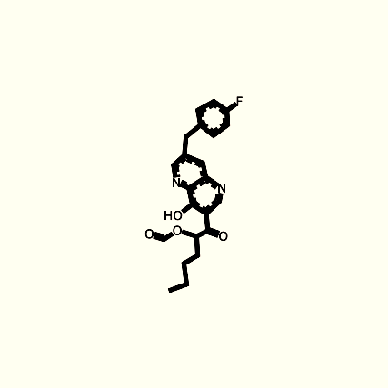 CCCCC(OC=O)C(=O)c1cnc2cc(Cc3ccc(F)cc3)cnc2c1O